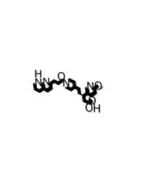 COc1ccc([C@H](CCC2CCN(C(=O)CCc3ccc4c(n3)NCCC4)CC2)CC(=O)O)cn1